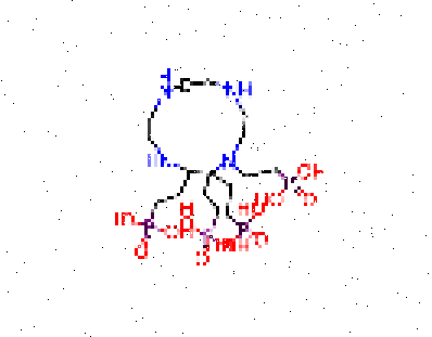 O=P(O)(O)CCC1NCCNCCNCCN(CCP(=O)(O)O)C1(CCP(=O)(O)O)CCP(=O)(O)O